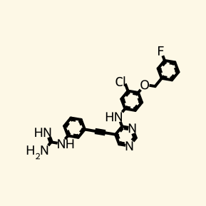 N=C(N)Nc1cccc(C#Cc2cncnc2Nc2ccc(OCc3cccc(F)c3)c(Cl)c2)c1